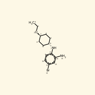 CCO[C@H]1CC[C@H](Nc2ccc(Br)cc2N)CC1